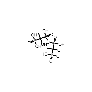 CC(O)(P(=O)(O)O)P(=O)(O)OP(=O)(O)C(C)(O)P(=O)(O)O